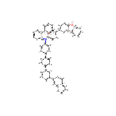 c1ccc(-c2ccccc2N(c2ccc(-c3ccc(-c4cccc(-c5ccc6ccccc6c5)c4)cc3)cc2)c2ccc(-c3ccc4oc5ccccc5c4c3)cc2)cc1